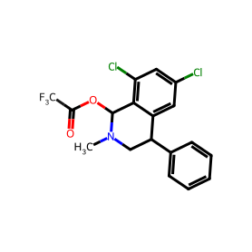 CN1CC(c2ccccc2)c2cc(Cl)cc(Cl)c2C1OC(=O)C(F)(F)F